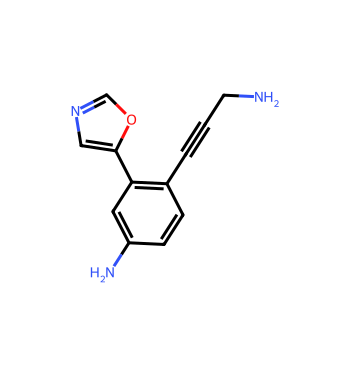 NCC#Cc1ccc(N)cc1-c1cnco1